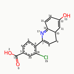 O=C(O)c1ccc(C2=CCC3C=C(O)C=CC3=N2)c(Cl)c1